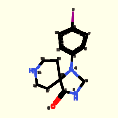 O=C1NCN(c2ccc(I)cc2)C12CCNCC2